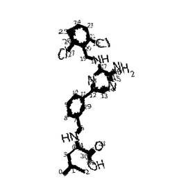 CC(C)C[C@@H](NCc1cccc(-c2cnc(N)c(NCc3c(Cl)cccc3Cl)n2)c1)C(=O)O